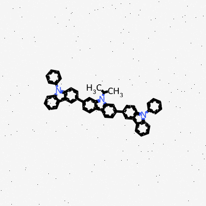 CC(C)n1c2cc(-c3ccc4c(c3)c3ccccc3n4-c3ccccc3)ccc2c2ccc(-c3ccc4c(c3)c3ccccc3n4-c3ccccc3)cc21